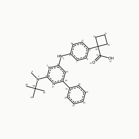 CN(c1nc(Nc2ccc(C3(C(=O)O)CCC3)cc2)cc(-c2ccccc2)n1)C(C)(C)C